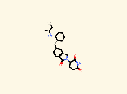 C[C@@H](CC(F)(F)F)N[C@H]1CCCC[C@@H]1Cc1ccc2c(c1)CN(C1CCC(=O)NC1=O)C2=O